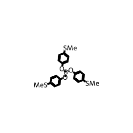 CSc1ccc(OB(Oc2ccc(SC)cc2)Oc2ccc(SC)cc2)cc1